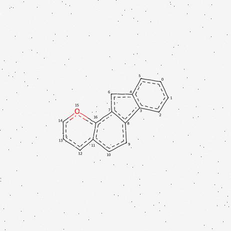 c1ccc2c(c1)cc1c2ccc2cccoc21